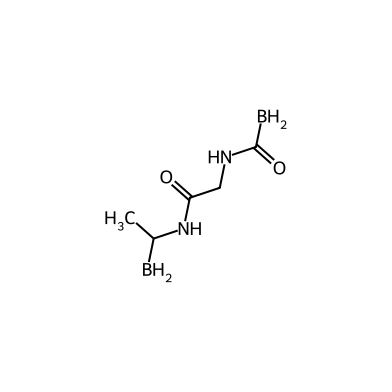 BC(=O)NCC(=O)NC(B)C